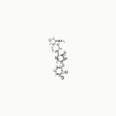 N[C@@H]1COCC12CCN(c1ncc(Sc3cccc(Cl)c3Cl)[nH]c1=O)CC2